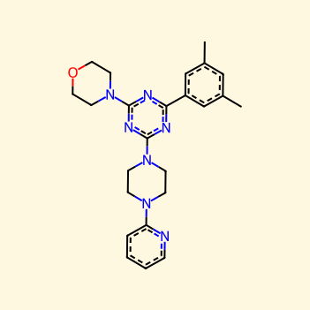 Cc1cc(C)cc(-c2nc(N3CCOCC3)nc(N3CCN(c4ccccn4)CC3)n2)c1